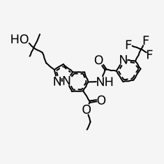 CCOC(=O)c1cn2nc(CCC(C)(C)O)cc2cc1NC(=O)c1cccc(C(F)(F)F)n1